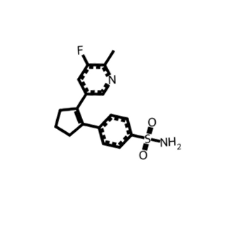 Cc1ncc(C2=C(c3ccc(S(N)(=O)=O)cc3)CCC2)cc1F